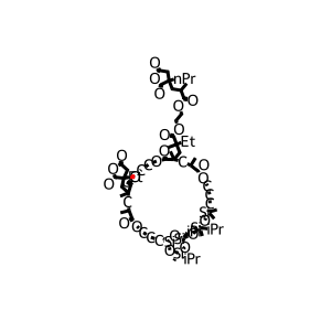 CCCC1(CC(C)C(=O)OCCOC(=O)C(C)(CC)CC2(C)CC(C)C(=O)OCCC[Si](C)(C)O[Si](C)(C(C)C)O[Si]3(C(C)C)O[Si](C)(CCCOC(=O)C(C)CC(C)(CC4(CC)CC(=O)OC4=O)C(=O)OCCOC2=O)O[Si](C)(C(C)C)O3)CC(=O)OC1=O